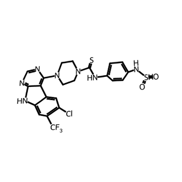 O=[SH](=O)Nc1ccc(NC(=S)N2CCN(c3ncnc4[nH]c5cc(C(F)(F)F)c(Cl)cc5c34)CC2)cc1